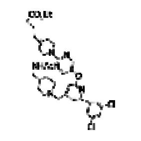 CCOC(=O)CCCN1CCN(c2ncc(Oc3cc(CN4CCC(CNC(C)=O)CC4)cc(-c4cc(Cl)cc(Cl)c4)n3)cn2)CC1